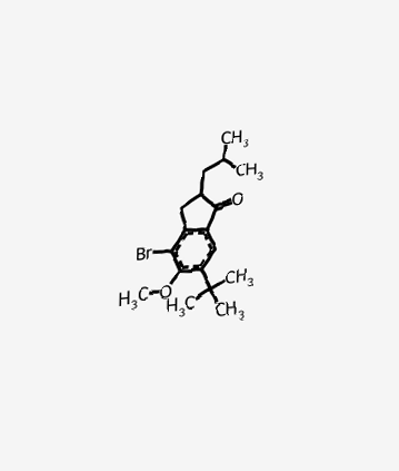 COc1c(C(C)(C)C)cc2c(c1Br)CC(CC(C)C)C2=O